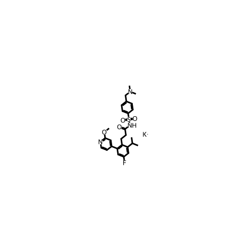 COc1cc(-c2cc(F)cc(C(C)C)c2CCC(=O)NS(=O)(=O)c2ccc(CN(C)C)cc2)ccn1.[K]